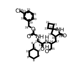 O=C(N[C@@H](CC1CCCCC1)C(=O)NC(CO)CC1CC2(CCC2)NC1=O)OCc1cccc(Cl)c1